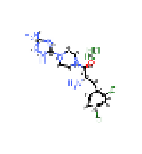 Cl.Cl.Nc1n[nH]c(N2CCN(C(=O)[C@@H](N)Cc3ccc(Cl)cc3Cl)CC2)n1